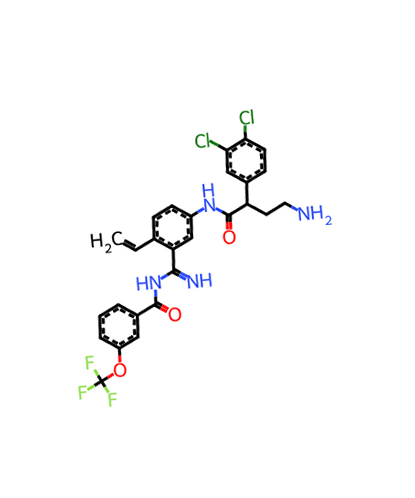 C=Cc1ccc(NC(=O)C(CCN)c2ccc(Cl)c(Cl)c2)cc1C(=N)NC(=O)c1cccc(OC(F)(F)F)c1